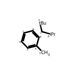 CC(C)CC(C)(C)C.Cc1ccccc1